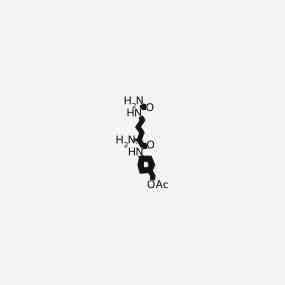 CC(=O)OCc1ccc(NC(=O)[C@@H](N)CCCNC(N)=O)cc1